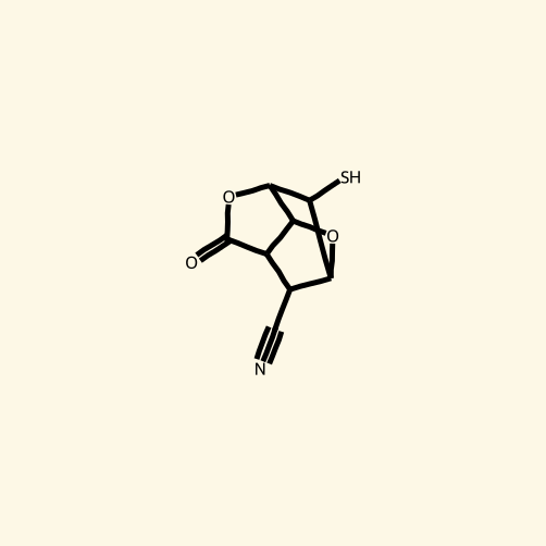 N#CC1C2OC3C(OC(=O)C13)C2S